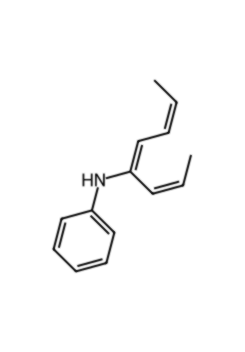 C\C=C/C=C(\C=C/C)Nc1ccccc1